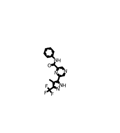 Cc1c(C(F)(F)F)n[nH]c1-c1cncc(C(=O)Nc2ccccc2)n1